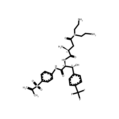 C=C(C)S(=O)(=O)c1ccc(NC(=O)[C@@H](NC(=O)[C@@H](N)CC(=O)N(CCN)CCN)[C@H](O)c2ccc(C(F)(F)F)cc2)cc1